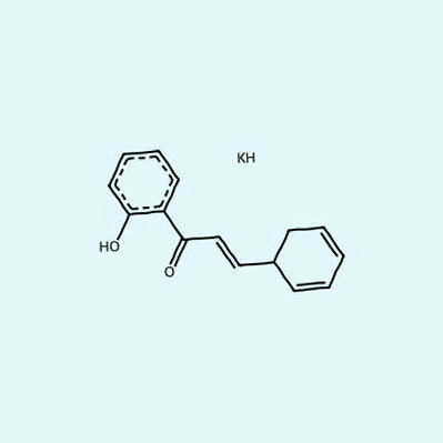 O=C(C=CC1C=CC=CC1)c1ccccc1O.[KH]